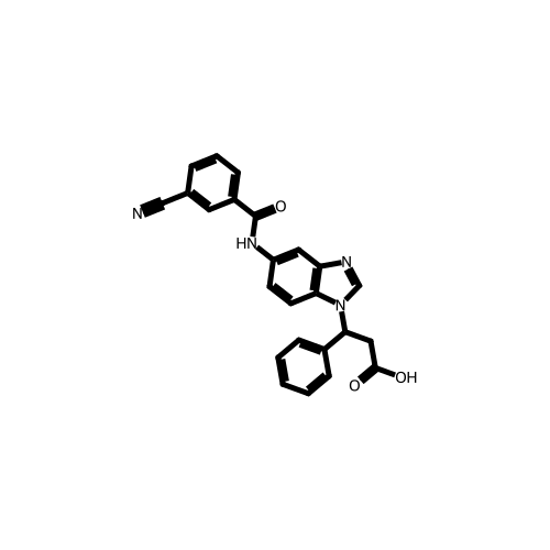 N#Cc1cccc(C(=O)Nc2ccc3c(c2)ncn3C(CC(=O)O)c2ccccc2)c1